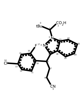 CC(C)(C)C(C(=O)O)n1nc(C(CCC#N)c2ccc(Cl)cc2F)c2ccccc21